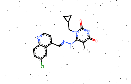 Cc1c(NN=Cc2ccnc3ccc(Cl)cc23)n(CC2CC2)c(=O)[nH]c1=O